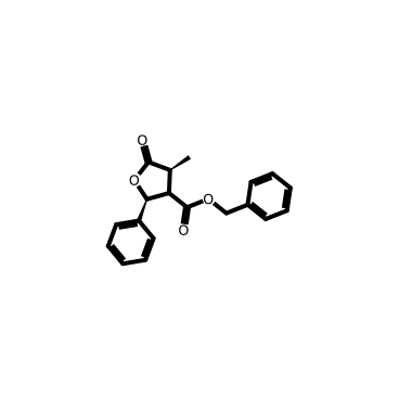 C[C@@H]1C(=O)O[C@H](c2ccccc2)C1C(=O)OCc1ccccc1